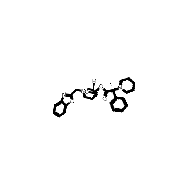 C[C@@](C(=O)O[C@H]1C[N+]2(Cc3nc4ccccc4o3)CCC1CC2)(c1ccccc1)N1CCCCC1